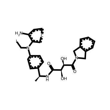 C[C@H](NC(=O)[C@H](O)[C@@H](O)C(=O)N1Cc2ccccc2C1)c1ccc(N(CI)c2ccccc2N)cc1